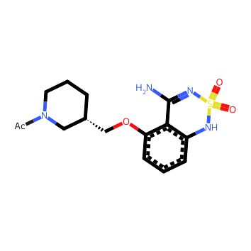 CC(=O)N1CCC[C@H](COc2cccc3c2C(N)=NS(=O)(=O)N3)C1